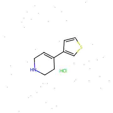 C1=C(c2ccsc2)CCNC1.Cl